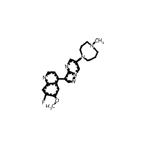 COc1cc2c(-c3cnn4cc(N5CCCN(C)CCC5)cnc34)ccnc2cc1F